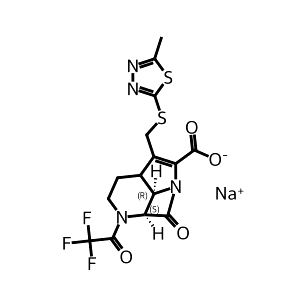 Cc1nnc(SCC2=C(C(=O)[O-])N3C(=O)[C@@H]4[C@H]3C2CCN4C(=O)C(F)(F)F)s1.[Na+]